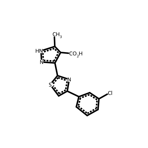 Cc1[nH]nc(-c2nc(-c3cccc(Cl)c3)cs2)c1C(=O)O